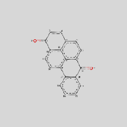 O=C1C=Cc2ccc3c4c(ccc1c24)-c1ccccc1C3=O